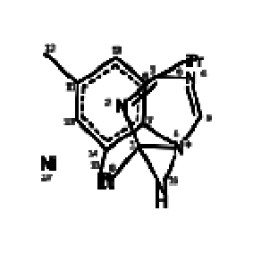 CCC12N=CN=C[N+]1(c1c(C(C)C)cc(C)cc1C(C)C)N2.[Ni]